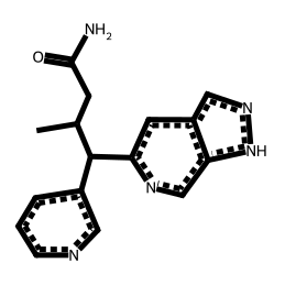 CC(CC(N)=O)C(c1cccnc1)c1cc2cn[nH]c2cn1